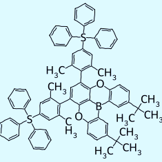 Cc1cc(S(c2ccccc2)(c2ccccc2)c2ccccc2)cc(C)c1-c1cc(-c2c(C)cc(S(c3ccccc3)(c3ccccc3)c3ccccc3)cc2C)c2c3c1Oc1ccc(C(C)(C)C)cc1B3c1cc(C(C)(C)C)ccc1O2